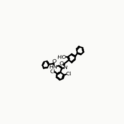 O=C(Nc1oc(-c2ccc(-c3ccccc3)cc2O)nc1-c1c(Cl)cccc1Cl)c1ccccc1